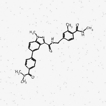 CNC(=O)c1ccc(CNC(=O)c2nn(C)c3ccc(-c4ccc(C(=O)N(C)C)cc4)cc23)cc1C